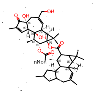 CCCCCCCCCC(=O)O[C@@H]1[C@@H](C)[C@@]2(O)[C@@H](C=C(CO)C[C@]3(O)C(=O)C(C)=C[C@@H]23)[C@H]2C(C)(C)[C@]12OC(=O)C1C2[C@H]([C@@H]3C=C(C)CC4CC(C)C[C@H]4C3[C@@H]1C)C2(C)C